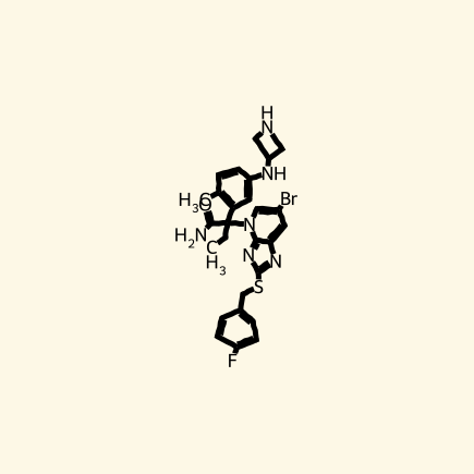 CCC(C(N)=O)(c1cc(NC2CNC2)ccc1C)n1cc(Br)cc2nc(SCc3ccc(F)cc3)nc1-2